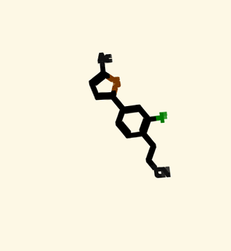 CC(=O)c1ccc(-c2ccc(CCC#N)c(F)c2)s1